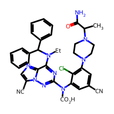 CCN(c1nc(N(C(=O)O)c2cc(C#N)cc(N3CCN(C(C)C(N)=O)CC3)c2Cl)nn2c(C#N)cnc12)C(c1ccccc1)c1ccccc1